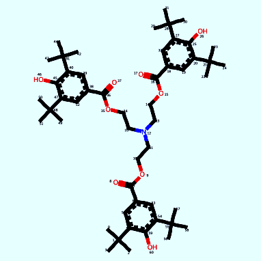 CC(C)(C)c1cc(C(=O)OCCN(CCOC(=O)c2cc(C(C)(C)C)c(O)c(C(C)(C)C)c2)CCOC(=O)c2cc(C(C)(C)C)c(O)c(C(C)(C)C)c2)cc(C(C)(C)C)c1O